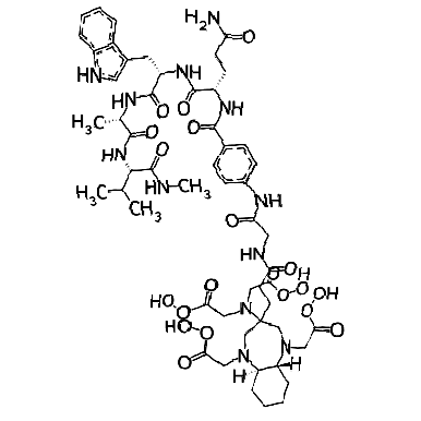 CNC(=O)[C@@H](NC(=O)[C@H](C)NC(=O)[C@H](Cc1c[nH]c2ccccc12)NC(=O)[C@H](CCC(N)=O)NC(=O)c1ccc(NC(=O)CNC(=O)CCC2(N(CC(=O)OO)CC(=O)OO)CN(CC(=O)OO)[C@@H]3CCCC[C@H]3N(CC(=O)OO)C2)cc1)C(C)C